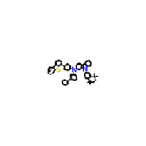 CC1(C)CCC(C)(C)c2cc(-n3c4ccccc4c4ccc(N(c5ccc(-c6cccc7c6sc6ccccc67)cc5)c5cccc(-c6ccccc6)c5)cc43)ccc21